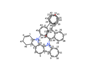 C1=Cc2c(c3ccc4c5ccccc5n(-c5ccc(-c6ccccc6)c6ccccc56)c4c3n2-c2ccc(-c3ccccc3)cc2)CC1